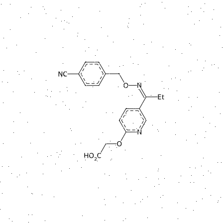 CCC(=NOCc1ccc(C#N)cc1)c1ccc(OCC(=O)O)nc1